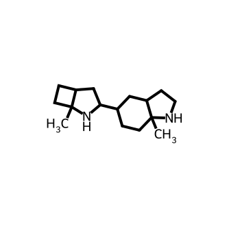 CC12CCC(C3CC4CCC4(C)N3)CC1CCN2